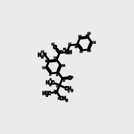 CN(C)C(C)(C)C(=O)c1ccc(N)c(C(=O)NCc2cccnc2)c1